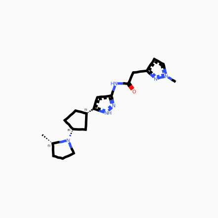 C[C@H]1CCCN1[C@@H]1CC[C@H](c2cc(NC(=O)Cc3ccn(C)n3)n[nH]2)C1